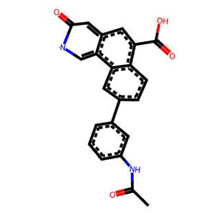 CC(=O)Nc1cccc(-c2ccc3c(C(=O)O)cc4c(c3c2)=C[N]C(=O)C=4)c1